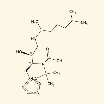 CC(C)CCCC(C)NC[C@H](O)[C@H](Cc1nccs1)N(C(=O)O)C(C)(C)C